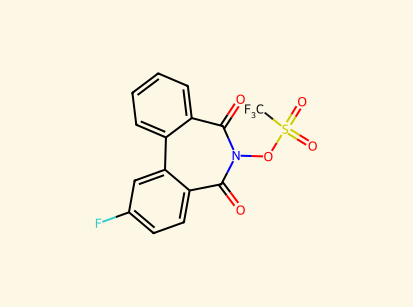 O=c1c2ccccc2c2cc(F)ccc2c(=O)n1OS(=O)(=O)C(F)(F)F